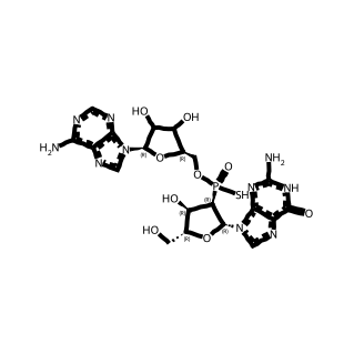 Nc1nc2c(ncn2[C@@H]2O[C@H](CO)[C@@H](O)[C@H]2P(=O)(S)OC[C@H]2O[C@@H](n3cnc4c(N)ncnc43)C(O)C2O)c(=O)[nH]1